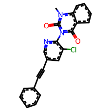 Cn1c(=O)n(-c2ncc(C#Cc3ccccc3)cc2Cl)c(=O)c2ccccc21